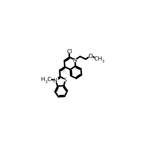 COCCN1C(Cl)=C/C(=C/c2sc3ccccc3[n+]2C)c2ccccc21